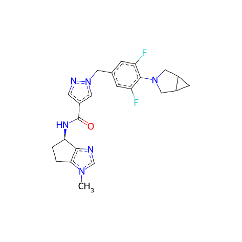 Cn1cnc2c1CC[C@H]2NC(=O)c1cnn(Cc2cc(F)c(N3CC4CC4C3)c(F)c2)c1